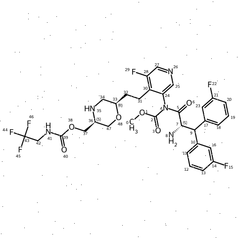 COC(=O)N(C(=O)[C@@H](N)C(c1cccc(F)c1)c1cccc(F)c1)c1cncc(F)c1CC[C@@H]1CN[C@H](COC(=O)NCC(F)(F)F)CO1